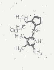 Cc1[nH][c]([Zr+2][C]2=C([SiH](C)C)C=CC2)c(C)c1C.[Cl-].[Cl-]